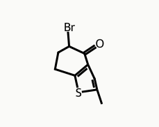 Cc1cc2c(s1)CCC(Br)C2=O